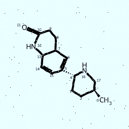 C[C@H]1CC[C@H](C2=CC3CCC(=O)NC3C=C2)NC1